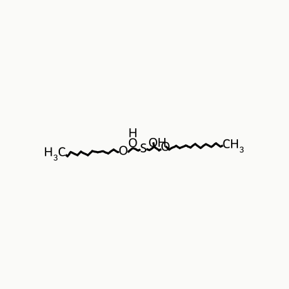 CCCCCCCCCCCCOCC(O)CSCC(O)COCCCCCCCCCCCC